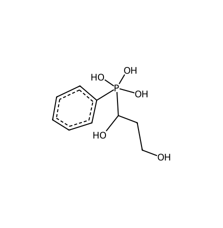 OCCC(O)P(O)(O)(O)c1ccccc1